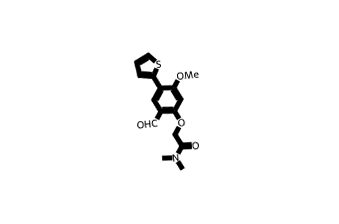 COc1cc(OCC(=O)N(C)C)c(C=O)cc1-c1cccs1